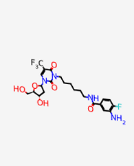 Nc1cc(C(=O)NCCCCCCn2c(=O)c(C(F)(F)F)cn([C@H]3C[C@H](O)[C@@H](CO)O3)c2=O)ccc1F